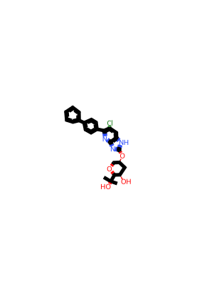 CC(C)(O)C1OC[C@H](Oc2nc3nc(-c4ccc(-c5ccccc5)cc4)c(Cl)cc3[nH]2)C[C@@H]1O